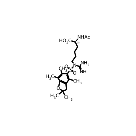 CC(=O)N[C@@H](CCCCN(C(=N)N)S(=O)(=O)c1c(C)c(C)c2c(c1C)CC(C)(C)O2)C(=O)O